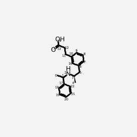 CC(N[C@H](C)Cc1cccc(CCC(=O)O)c1)c1ccccc1